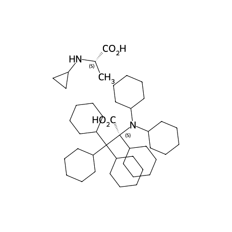 C[C@H](NC1CC1)C(=O)O.O=C(O)[C@@](C1CCCCC1)(N(C1CCCCC1)C1CCCCC1)C(C1CCCCC1)(C1CCCCC1)C1CCCCC1